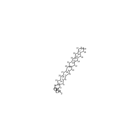 CCCCCCCCCCCCCCCCCCCI.CCCCCCCCCCCCCCCCCCI